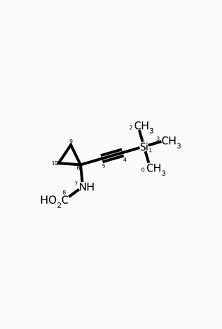 C[Si](C)(C)C#CC1(NC(=O)O)CC1